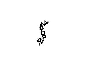 FC(F)Cn1ncc2ncc(N3CCC4(CCC(Oc5cnccc5C(F)(F)F)C4)CC3)nc21